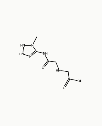 CN1NNN=C1NC(=O)CNCC(=O)O